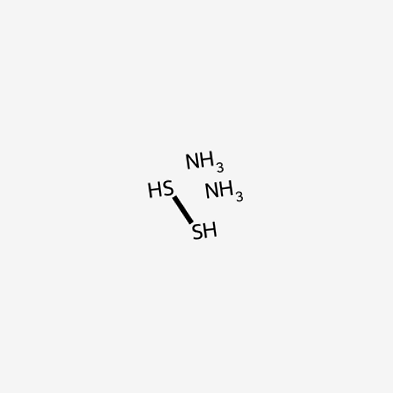 N.N.SS